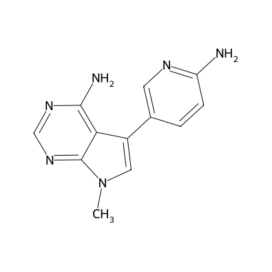 Cn1cc(-c2ccc(N)nc2)c2c(N)ncnc21